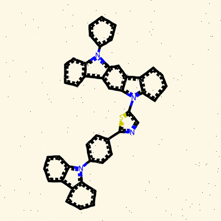 c1ccc(-n2c3ccccc3c3cc4c(cc32)c2ccccc2n4-c2cnc(-c3ccc(-n4c5ccccc5c5ccccc54)cc3)s2)cc1